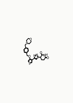 O=C1CCC(n2cc(-c3cscc3OCc3ccc(CN4CCOCC4)cc3)nn2)C(=O)N1